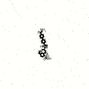 Cl.NCC(=O)c1ccc(-c2ccc(-c3cnc([C@H]4CC(=O)C5c6c(ccn6C4)CC[C@@H]5NC(=O)O)[nH]3)cc2)cc1